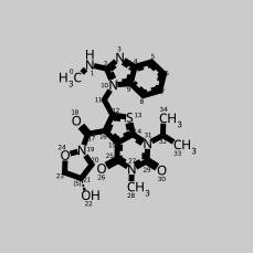 CNc1nc2ccccc2n1Cc1sc2c(c1C(=O)N1C[C@H](O)CO1)c(=O)n(C)c(=O)n2C(C)C